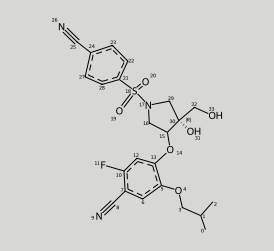 CC(C)COc1cc(C#N)c(F)cc1OC1CN(S(=O)(=O)c2ccc(C#N)cc2)C[C@@]1(O)CO